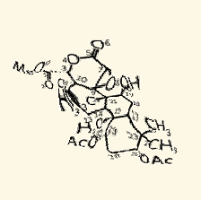 COC(=O)[C@@H]1OC(=O)C2OC23[C@@]1(C)CCC1[C@]2(C)C(C[C@H](O)[C@]13C)C(C)(C)[C@H](OC(C)=O)C[C@@H]2OC(C)=O